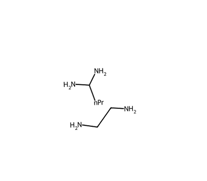 CCCC(N)N.NCCN